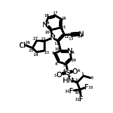 CCC(NS(=O)(=O)c1ccc(-c2c(C#N)c3cccnc3n2C2CCC(Cl)C2)nc1)C(F)(F)F